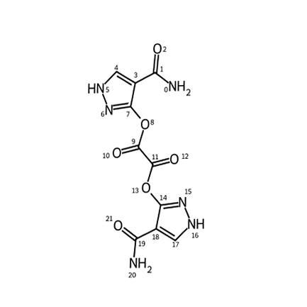 NC(=O)c1c[nH]nc1OC(=O)C(=O)Oc1n[nH]cc1C(N)=O